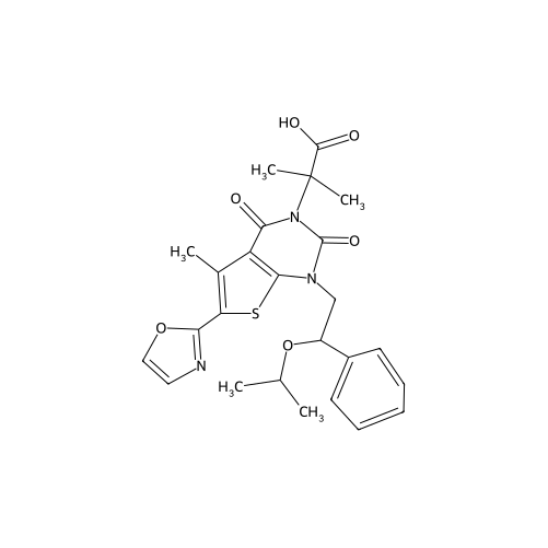 Cc1c(-c2ncco2)sc2c1c(=O)n(C(C)(C)C(=O)O)c(=O)n2CC(OC(C)C)c1ccccc1